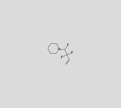 C=CC(F)(F)C(F)N1CCCCC1